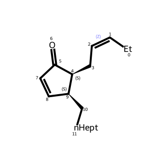 CC/C=C\C[C@@H]1C(=O)C=C[C@@H]1CCCCCCCC